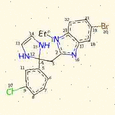 CCn1c(CC2(c3cccc(Cl)c3)NC=CN2)nc2cc(Br)ccc21